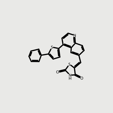 O=C1NC(=O)C(=Cc2ccc3nccc(-c4ccc(-c5ccccc5)s4)c3c2)S1